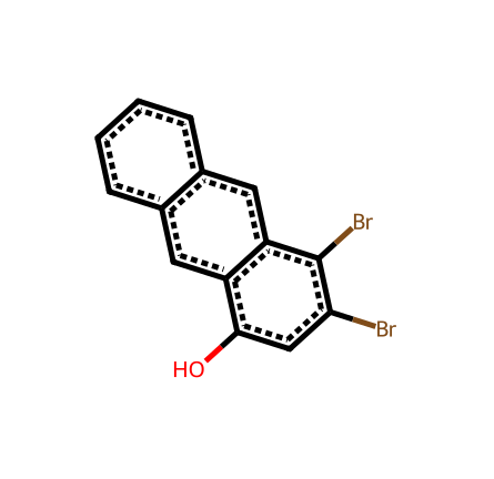 Oc1cc(Br)c(Br)c2cc3ccccc3cc12